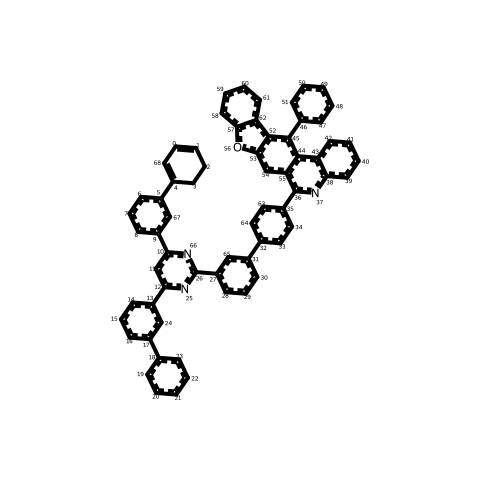 C1=CCCC(c2cccc(-c3cc(-c4cccc(-c5ccccc5)c4)nc(-c4cccc(-c5ccc(-c6nc7ccccc7c7c(-c8ccccc8)c8c(cc67)oc6ccccc68)cc5)c4)n3)c2)=C1